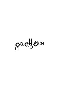 N#Cc1ccc(C(=O)Nc2ccc(COc3cccc(Cl)c3)cn2)cn1